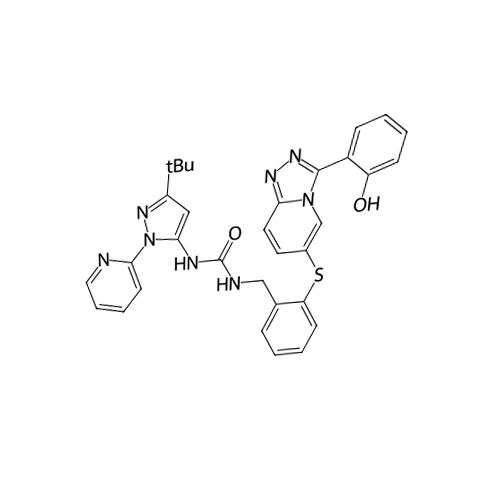 CC(C)(C)c1cc(NC(=O)NCc2ccccc2Sc2ccc3nnc(-c4ccccc4O)n3c2)n(-c2ccccn2)n1